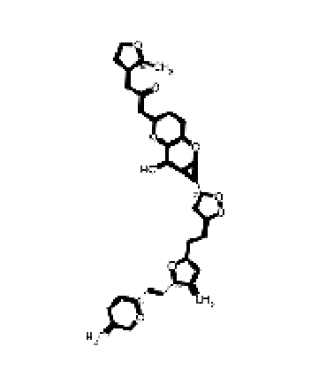 C=C1CC[C@H](CC[C@@H]2OC(CCC3C[C@H](C4C5OC6CCC(CC(=O)CC7CCO[C@H]7C)OC6C(O)C54)OO3)CC2=C)OC1